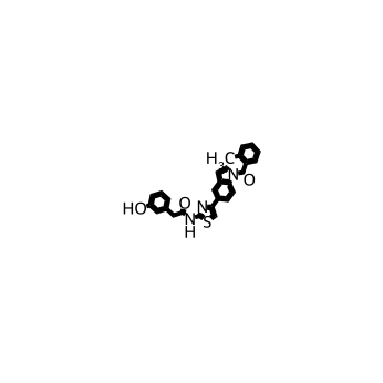 Cc1ccccc1C(=O)n1ccc2cc(-c3csc(NC(=O)Cc4cccc(O)c4)n3)ccc21